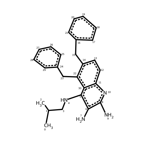 CC(C)CNc1c(N)c(N)nc2ccc(Cc3ccccc3)c(Cc3ccccc3)c12